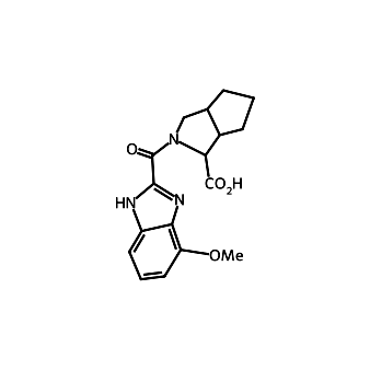 COc1cccc2[nH]c(C(=O)N3CC4CCCC4C3C(=O)O)nc12